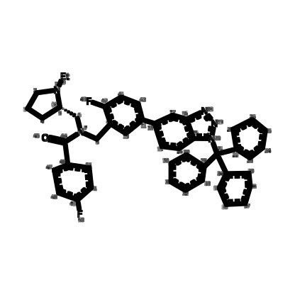 CCN1CCC[C@H]1CN(Cc1cc(-c2ccc3c(c2)nnn3C(c2ccccc2)(c2ccccc2)c2ccccc2)ccc1F)C(=O)c1ccc(F)cc1